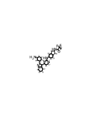 Nc1cccc(-c2nn3ccccc3c2-c2ccnc(Nc3ccc4c(c3)CC(NC(=O)C(F)(F)F)C4)n2)c1